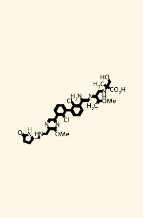 C=C(OC)/C(CNC(C)(CO)C(=O)O)=N\C=C(/N)c1cccc(-c2cccc(-c3cnc(CNC[C@@H]4CCC(=O)N4)c(OC)n3)c2Cl)c1Cl